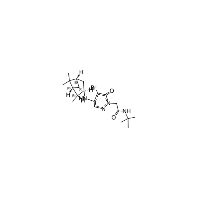 C[C@@H]1[C@H]2C[C@@H](C[C@H]1Nc1cnn(CC(=O)NC(C)(C)C)c(=O)c1Br)C2(C)C